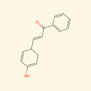 O=C(C=CC1C=CC(O)=CC1)c1ccccc1